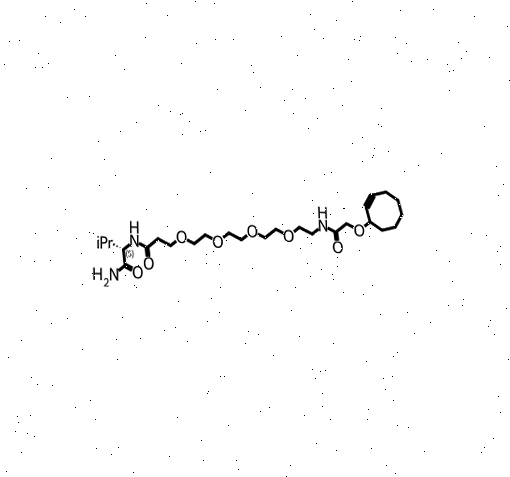 CC(C)[C@H](NC(=O)CCOCCOCCOCCOCCNC(=O)COC1C#CCCCCC1)C(N)=O